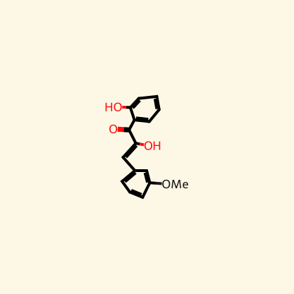 COc1cccc(C=C(O)C(=O)c2ccccc2O)c1